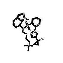 Cn1ncc2cccc(N(COCC[Si](C)(C)C)S(=O)(=O)c3cccnc3-n3cc(C4(O)CC4)cn3)c21